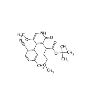 COCCC(C(=O)OC(C)(C)C)c1c(-c2cc(C)ccc2C#N)c(OC)c[nH]c1=O